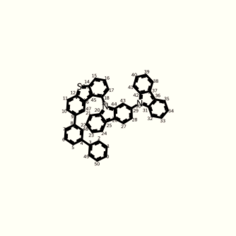 c1ccc(-c2cccc(-c3ccc4sc5cccc(-n6c7ccccc7c7ccc(-n8c9ccccc9c9ccccc98)cc76)c5c4c3)c2)cc1